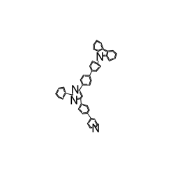 c1ccc(-c2nc(-c3ccc(-c4ccncc4)cc3)cc(-c3ccc(-c4ccc(-n5c6ccccc6c6ccccc65)cc4)cc3)n2)cc1